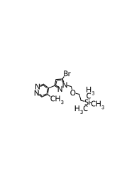 Cc1cnncc1-c1cc(Br)n(COCC[Si](C)(C)C)n1